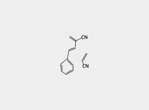 C=C(C#N)C=Cc1ccccc1.C=CC#N